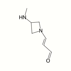 CNC1CN(C=CC=O)C1